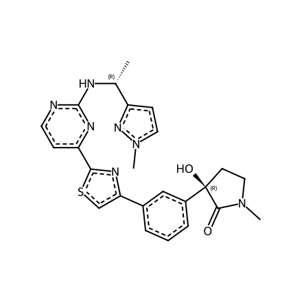 C[C@@H](Nc1nccc(-c2nc(-c3cccc([C@]4(O)CCN(C)C4=O)c3)cs2)n1)c1ccn(C)n1